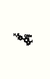 COc1nn2c(I)cnc2cc1-c1cnn(C)c1